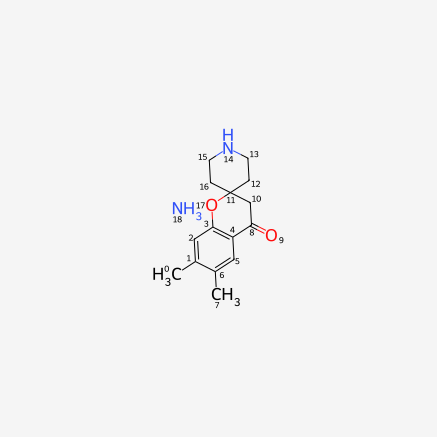 Cc1cc2c(cc1C)C(=O)CC1(CCNCC1)O2.N